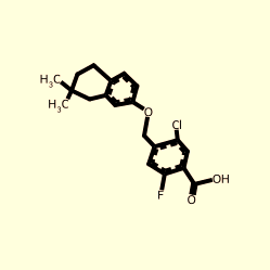 CC1(C)CCc2ccc(OCc3cc(F)c(C(=O)O)cc3Cl)cc2C1